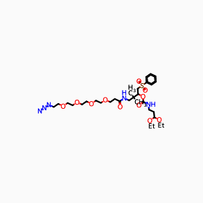 CCOC(CCNC(=O)OC(CS(=O)(=O)c1ccccc1)C(C)(C)CNC(=O)CCOCCOCCOCCOCCN=[N+]=[N-])OCC